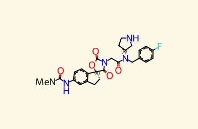 CNC(=O)Nc1ccc2c(c1)CC[C@@]21OC(=O)N(CC(=O)N(Cc2ccc(F)cc2)[C@@H]2CCNC2)C1=O